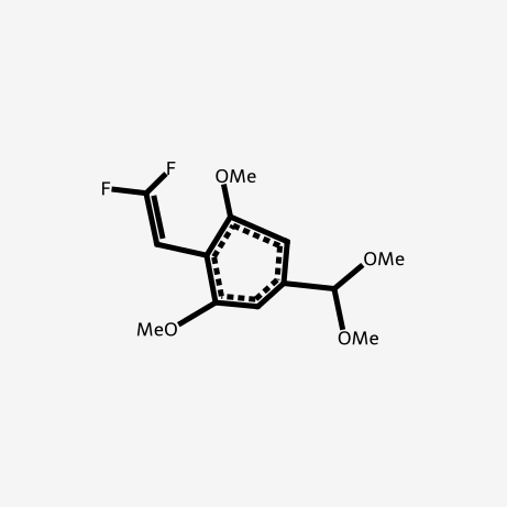 COc1cc(C(OC)OC)cc(OC)c1C=C(F)F